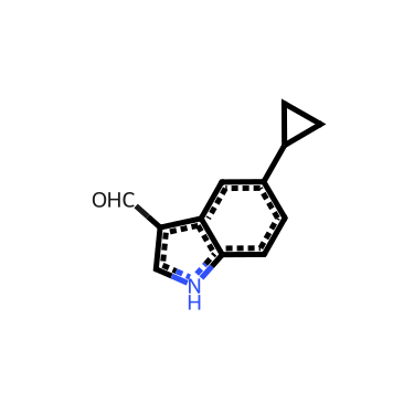 O=Cc1c[nH]c2ccc(C3CC3)cc12